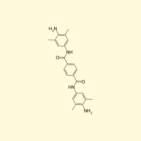 Cc1cc(NC(=O)c2ccc(C(=O)Nc3cc(C)c(N)c(C)c3)cc2)cc(C)c1N